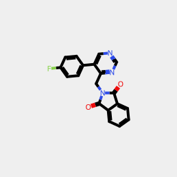 O=C1c2ccccc2C(=O)N1Cc1ncncc1-c1ccc(F)cc1